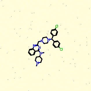 CN1CCC(N(C)c2nc(CN3CCN(C(c4ccc(Cl)cc4)c4ccc(Cl)cc4)CC3)nc3ccccc23)CC1